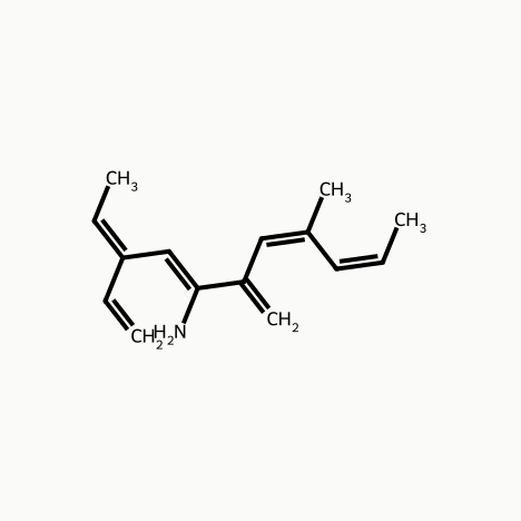 C=CC(=C/C)/C=C(\N)C(=C)/C=C(C)\C=C/C